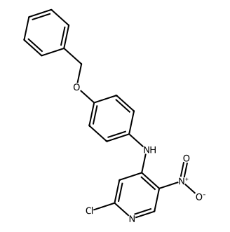 O=[N+]([O-])c1cnc(Cl)cc1Nc1ccc(OCc2ccccc2)cc1